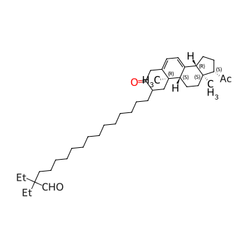 CCC(C=O)(CC)CCCCCCCCCCCCCCC1C[C@@]2(C)C(=CC=C3[C@@H]4CC[C@H](C(C)=O)[C@@]4(C)CC[C@@H]32)CC1=O